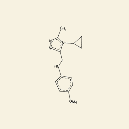 COc1ccc(NCc2nnc(C)n2C2CC2)cc1